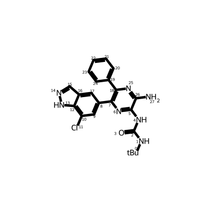 CC(C)(C)NC(=O)Nc1nc(-c2cc(Cl)c3[nH]ncc3c2)c(-c2ccccc2)nc1N